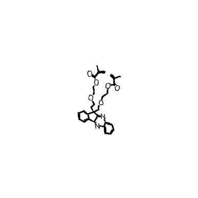 C=C(C)C(=O)OCCOCCC1(CCOCCOC(=O)C(=C)C)c2ccccc2-c2nc3ccccc3nc21